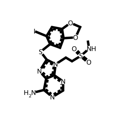 CNS(=O)(=O)CCn1c(Sc2cc3c(cc2I)OCO3)nc2c(N)ncnc21